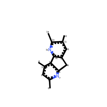 Cc1cc(C)c2c(n1)Cc1cc(C)c(C)nc1-2